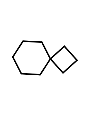 C1CCC2(CC1)CCC2